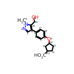 Cn1ncc(-c2ccc(OC3CCC(C(=O)O)C3)cc2)c1CO